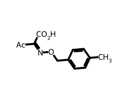 CC(=O)/C(=N/OCc1ccc(C)cc1)C(=O)O